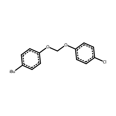 CCC(C)c1ccc(OCOc2ccc(Cl)cc2)cc1